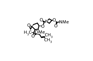 CNC(=O)OC1CN(C(=O)O[C@@H]2CC[C@]3(CO3)C([C@@]3(C)O[C@@H]3CC=C(C)C)[C@@H]2OC)C1